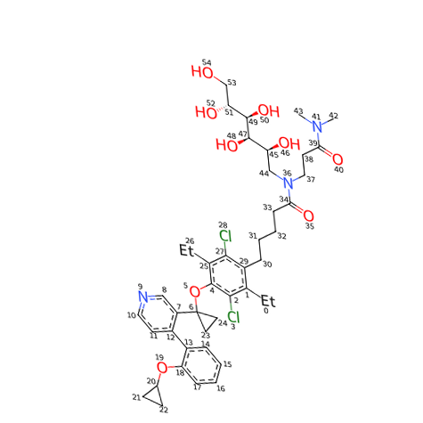 CCc1c(Cl)c(OC2(c3cnccc3-c3ccccc3OC3CC3)CC2)c(CC)c(Cl)c1CCCCC(=O)N(CCC(=O)N(C)C)C[C@H](O)[C@@H](O)[C@H](O)[C@H](O)CO